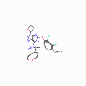 COc1ccc(Oc2nc(NC(C)C3CCOCC3)c3ncn(C4CCCCO4)c3n2)c(F)c1F